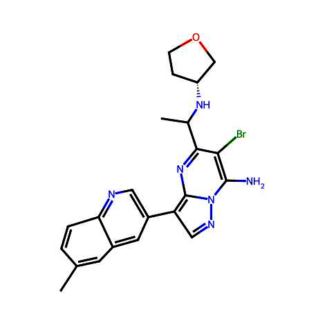 Cc1ccc2ncc(-c3cnn4c(N)c(Br)c(C(C)N[C@@H]5CCOC5)nc34)cc2c1